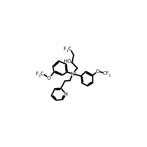 OC(CC(F)(F)F)C[N+](CCc1ccccn1)(c1cccc(OC(F)(F)F)c1)c1cccc(OC(F)(F)F)c1